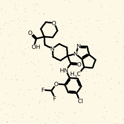 CC1CCc2cnn(C3(C(=O)Nc4ccc(Cl)cc4OC(F)F)CCN(CC4(C(=O)O)CCOCC4)CC3)c21